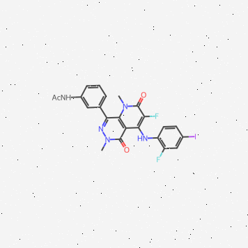 CC(=O)Nc1cccc(-c2nn(C)c(=O)c3c(Nc4ccc(I)cc4F)c(F)c(=O)n(C)c23)c1